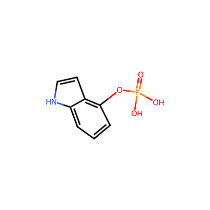 O=P(O)(O)Oc1cccc2[nH]ccc12